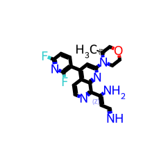 C[C@@H]1COCCN1c1cc(-c2ccc(F)nc2F)c2ccnc(/C(N)=C/C=N)c2n1